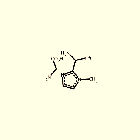 CCCC(N)c1nccn1C.NCC(=O)O